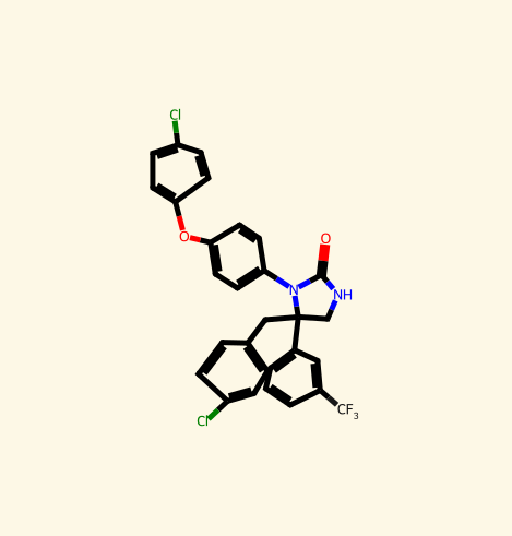 O=C1NCC(Cc2ccc(Cl)cc2)(c2cccc(C(F)(F)F)c2)N1c1ccc(Oc2ccc(Cl)cc2)cc1